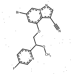 COC(COc1cc(Br)cn2ncc(C#N)c12)c1ccc(F)cn1